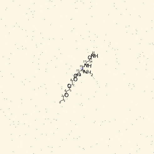 CCCOCCOCCOOOC/C(N)=C/NCCONC